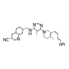 CCC/C=C/C=C\C1=C(C)CCN(c2ncnc(NCc3ccc4cc(C#N)cnc4c3)c2C)C1